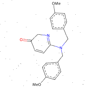 COc1ccc(CN(Cc2ccc(OC)cc2)C2=NCC(=O)C=C2)cc1